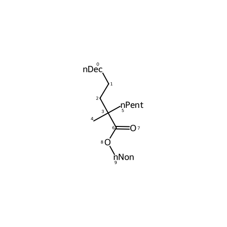 CCCCCCCCCCCCC(C)(CCCCC)C(=O)OCCCCCCCCC